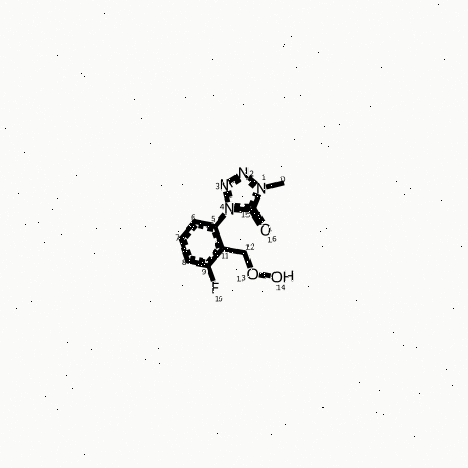 Cn1nnn(-c2cccc(F)c2COO)c1=O